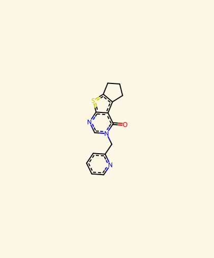 O=c1c2c3c(sc2ncn1Cc1ccccn1)CCC3